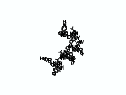 CC(C)c1cnn2c(NC(C)c3ccccc3N3CCC3)nc(OC3CCCNC3)nc12.CC(C)c1cnn2c(NC(C)c3ccccc3S(=O)(=O)N3CCCC3)nc(OC3CCCNC3)nc12.COc1cccc(C(C)Nc2nc(OCCN(C)S(=O)(=O)C3CCNCC3)nc3c(C(C)C)cnn23)c1.COc1cccc([C@H](C)Nc2nc(OC3COC4(CCNCC4)C3)nc3c(C(C)C)cnn23)c1